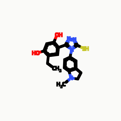 CCc1cc(-c2nnc(S)n2-c2ccc3c(c2)CCN3C)c(O)cc1O